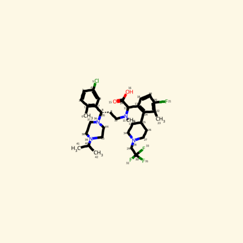 Cc1ccc(Cl)cc1[C@H](CCN(C)C(C(=O)O)c1ccc(F)c(C)c1C1CCN(CC(F)(F)F)CC1)N1CCN(C(C)C)CC1